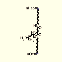 CCCCCCC/C=C\CCCCCCCCNC(=O)CCC(NC(=O)CCCN(C)C)C(=O)NCCCCCCCC/C=C\CCCCCCCC